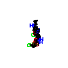 O=C(Nc1ccc(-n2cnc3cc(NCC4CC4)ccc3c2=O)c(Cl)c1)NS(=O)(=O)c1ccc(Cl)s1